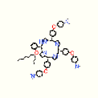 CCCCCCC(CCC)Oc1ccccc1-c1c2nc(c(-c3ccc(Oc4ccc(N(C)C)cc4)cc3)c3ccc([nH]3)c(-c3ccc(Oc4ccc(N(C)C)cc4)cc3)c3nc(c(-c4ccc(Oc5ccc(N(C)C)cc5)cc4)c4ccc1[nH]4)C=C3)C=C2